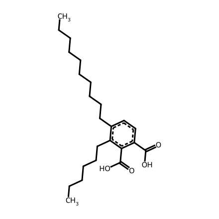 CCCCCCCCCCc1ccc(C(=O)O)c(C(=O)O)c1CCCCCC